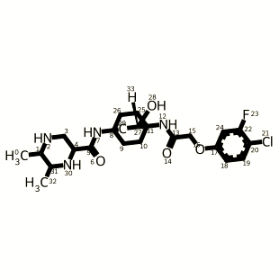 CC1NCC(C(=O)NC23CCC(NC(=O)COc4ccc(Cl)c(F)c4)(CC2)[C@@H](O)C3)NC1C